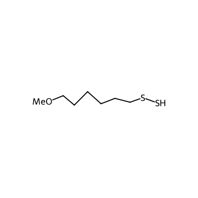 COCCCCCCSS